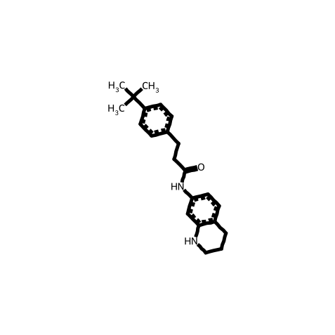 CC(C)(C)c1ccc(CCC(=O)Nc2ccc3c(c2)NCCC3)cc1